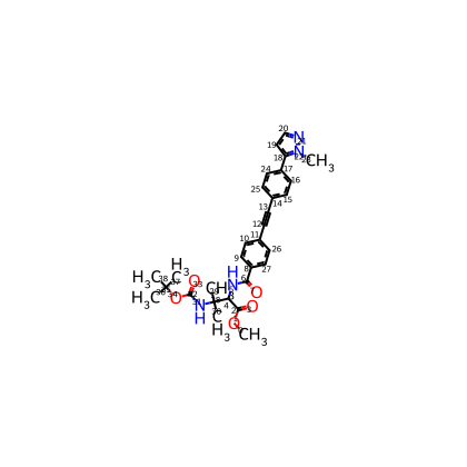 COC(=O)C(NC(=O)c1ccc(C#Cc2ccc(-c3ccnn3C)cc2)cc1)C(C)(C)NC(=O)OC(C)(C)C